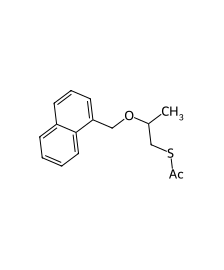 CC(=O)SCC(C)OCc1cccc2ccccc12